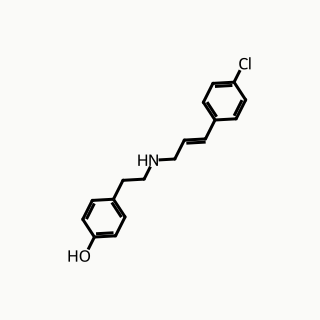 Oc1ccc(CCNCC=Cc2ccc(Cl)cc2)cc1